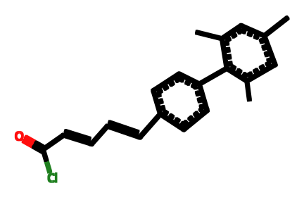 Cc1cc(C)c(-c2ccc(/C=C/C=C/C(=O)Cl)cc2)c(C)c1